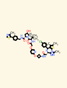 Cc1ncsc1-c1ccc(CNC(=O)[C@@H]2C[C@@H](O)CN2C(=O)C(NC(=O)COc2ccc(O[C@H]3C[C@H](NC(=O)C[C@@H]4N=C(c5ccc(Cl)cc5)c5c(sc(C)c5C)-n5c(C)nnc54)C3)nc2)C(C)(C)C)cc1